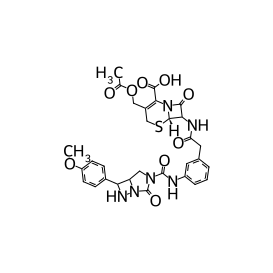 COc1ccc(C2NN3C(=O)N(C(=O)Nc4cccc(CC(=O)NC5C(=O)N6C(C(=O)O)=C(COC(C)=O)CS[C@@H]56)c4)CC23)cc1